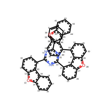 C1=CCCC(c2nc(-c3cccc4oc5ccccc5c34)nc(-c3cccc4oc5cccc(-c6cccc7oc8ccccc8c67)c5c34)n2)=C1